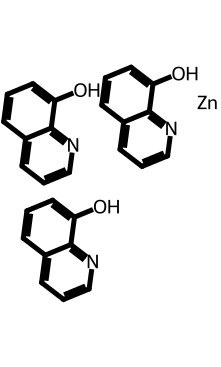 Oc1cccc2cccnc12.Oc1cccc2cccnc12.Oc1cccc2cccnc12.[Zn]